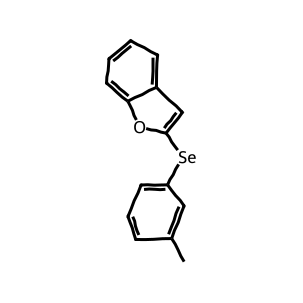 Cc1cccc([Se]c2cc3ccccc3o2)c1